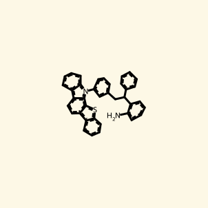 Nc1ccccc1C(Cc1cccc(-n2c3ccccc3c3ccc4c5ccccc5sc4c32)c1)c1ccccc1